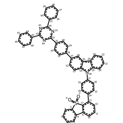 O=S1(=O)c2ccccc2-c2cccc(-c3ccc(-n4c5ccccc5c5cc(-c6ccc(-c7nc(-c8ccccc8)nc(-c8ccccc8)n7)cc6)ccc54)cc3)c21